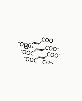 O=C([O-])C=CC(=O)[O-].O=C([O-])C=CC(=O)[O-].O=C([O-])C=CC(=O)[O-].[Cr+3].[Cr+3]